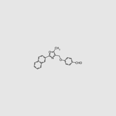 Cc1oc(-c2ccc3ccccc3c2)nc1COc1ccc(C=O)cc1